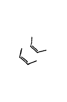 C/C=C\C.C/C=C\C